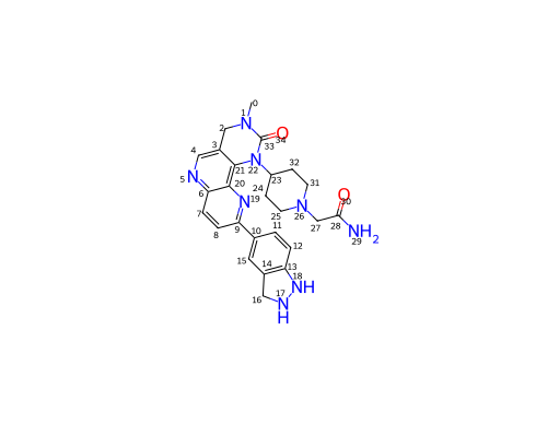 CN1Cc2cnc3ccc(-c4ccc5c(c4)CNN5)nc3c2N(C2CCN(CC(N)=O)CC2)C1=O